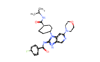 CC(C)NC(=O)[C@H]1CC[C@@H](n2/c(=N/C(=O)c3ccc(F)cc3)[nH]c3cnc(N4CCOCC4)cc32)CC1